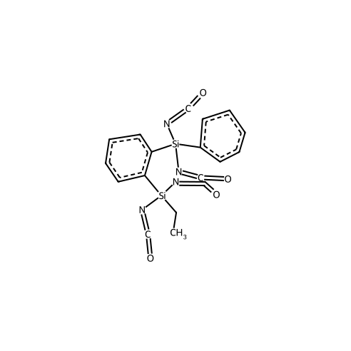 CC[Si](N=C=O)(N=C=O)c1ccccc1[Si](N=C=O)(N=C=O)c1ccccc1